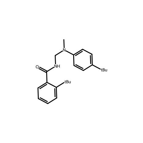 CN(CNC(=O)c1ccccc1C(C)(C)C)c1ccc(C(C)(C)C)cc1